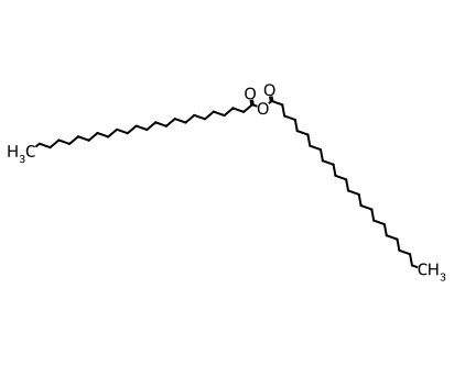 CCCCCCCCCCCCCCCCCCCCCCCC(=O)OC(=O)CCCCCCCCCCCCCCCCCCCCCCC